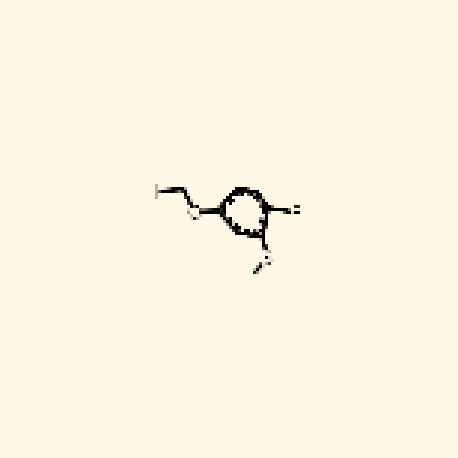 CSc1cc(OCI)ccc1F